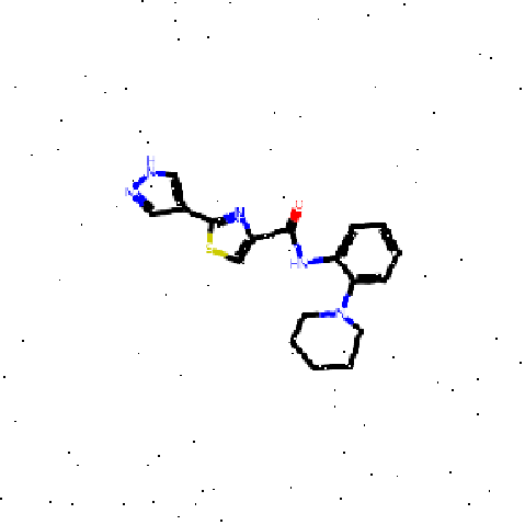 O=C(Nc1ccccc1N1CCCCC1)c1csc(-c2cn[nH]c2)n1